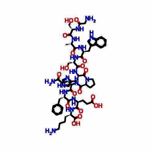 C[C@H](NC(=O)[C@H](CO)NC(=O)CN)C(=O)N[C@@H](Cc1c[nH]c2ccccc12)C(=O)N[C@@H](CO)C(=O)N[C@@H](Cc1c[nH]cn1)C(=O)N1CCC[C@H]1C(=O)N[C@@H](CCC(N)=O)C(=O)N[C@@H](Cc1ccccc1)C(=O)N[C@@H](CCC(=O)O)C(=O)N[C@@H](CCCCN)C(=O)O